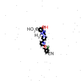 Cn1c(CN2CCC(c3cccc(OCc4ccc(C#N)cc4F)n3)CC2)nc2c(O)cc(C(=O)O)cc21